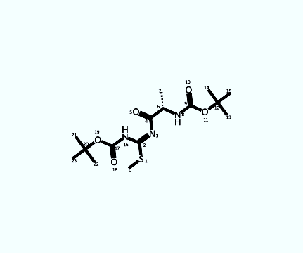 CS/C(=N/C(=O)[C@H](C)NC(=O)OC(C)(C)C)NC(=O)OC(C)(C)C